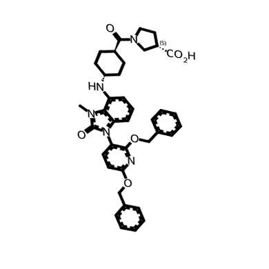 Cn1c(=O)n(-c2ccc(OCc3ccccc3)nc2OCc2ccccc2)c2cccc(N[C@H]3CC[C@H](C(=O)N4CC[C@H](C(=O)O)C4)CC3)c21